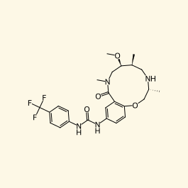 CO[C@@H]1CN(C)C(=O)c2cc(NC(=O)Nc3ccc(C(F)(F)F)cc3)ccc2OC[C@@H](C)NC[C@@H]1C